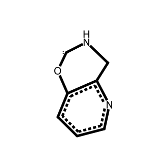 [C]1NCc2ncccc2O1